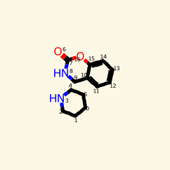 C1CCNCC1.O=C1NCc2ccccc2O1